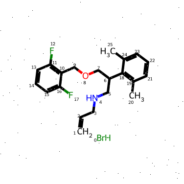 Br.C=CCNCC(COCc1c(F)cccc1F)c1c(C)cccc1C